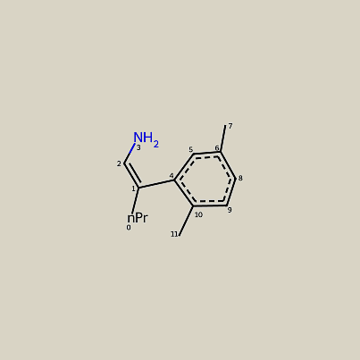 CCC/C(=C/N)c1cc(C)ccc1C